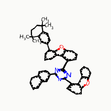 CC1(C)CCC(C)(C)c2cc(-c3cccc4c3oc3cccc(-c5nc(-c6ccc7ccccc7c6)nc(-c6cccc7oc8ccccc8c67)n5)c34)ccc21